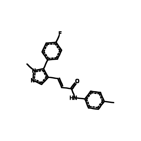 Cc1ccc(NC(=O)C=Cc2cnn(C)c2-c2ccc(F)cc2)cc1